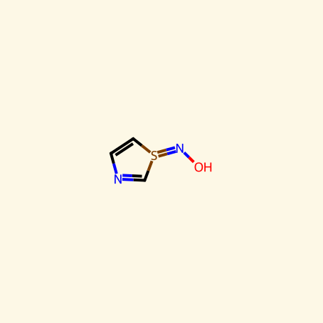 ON=S1C=CN=C1